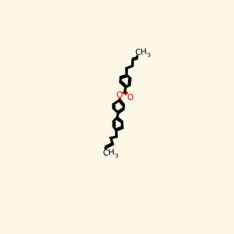 C/C=C/CCc1ccc(C(=O)Oc2ccc(-c3ccc(CC/C=C/C)cc3)cc2)cc1